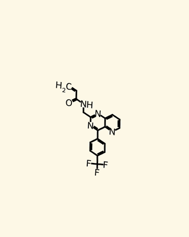 C=CC(=O)NCc1nc(-c2ccc(C(F)(F)F)cc2)c2ncccc2n1